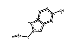 CCCCCCCCc1cc2cc(C#N)ccc2o1